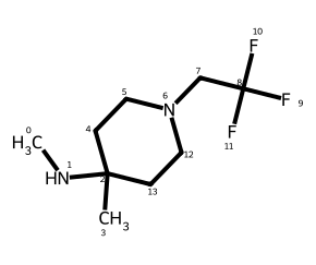 CNC1(C)CCN(CC(F)(F)F)CC1